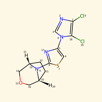 Clc1ncn(-c2csc(N3[C@@H]4CC[C@H]3COC4)n2)c1Cl